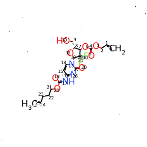 C=CCOC(=O)O[C@@H]1[C@@H](CO)O[C@@H](n2ccc(NC(=O)OCCCCC)nc2=O)C1(F)F